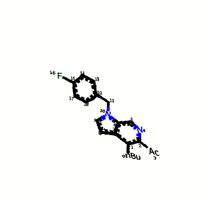 CCCCc1c(C(C)=O)ncc2c1ccn2Cc1ccc(F)cc1